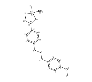 COc1ccc(OCCc2ccc([C@@H]3CC[C@@](C)(N)C3)cc2)cc1